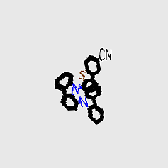 N#CC1CCc2sc3c(-n4c5ccccc5c5cccc(N6C7=CCCC=C7C7C=CC=CC76)c54)cccc3c2C1